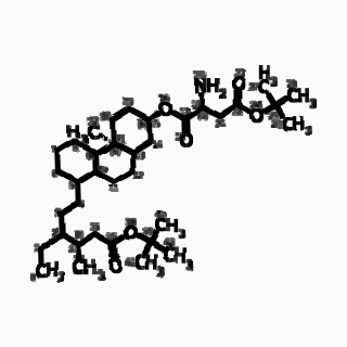 CCC(CCC1CCCC2C1CCC1C[C@H](OC(=O)[C@@H](N)CC(=O)OC(C)(C)C)CC[C@@]12C)[C@H](C)CC(=O)OC(C)(C)C